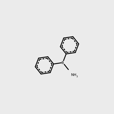 CB(c1ccccc1)c1ccccc1.N